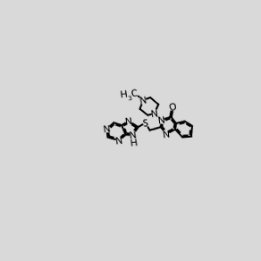 CN1CCN(n2c(CSc3nc4cncnc4[nH]3)nc3ccccc3c2=O)CC1